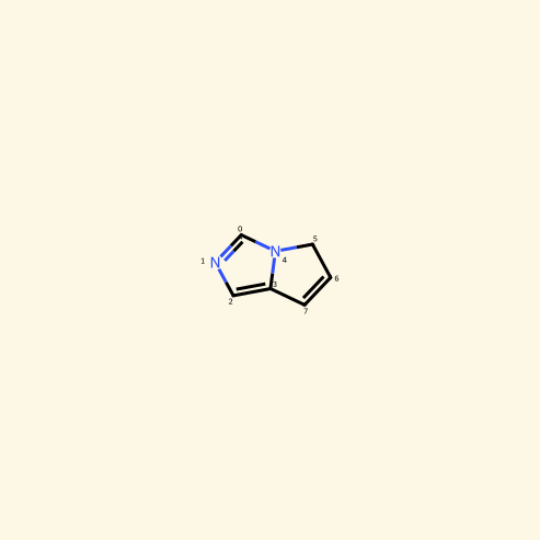 [c]1ncc2n1CC=C2